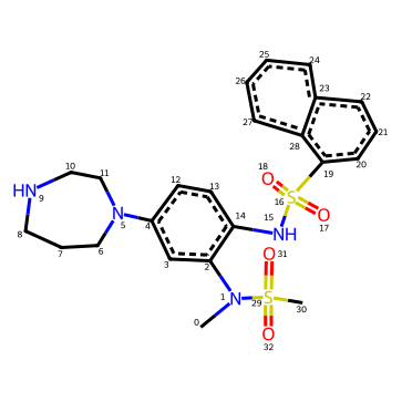 CN(c1cc(N2CCCNCC2)ccc1NS(=O)(=O)c1cccc2ccccc12)S(C)(=O)=O